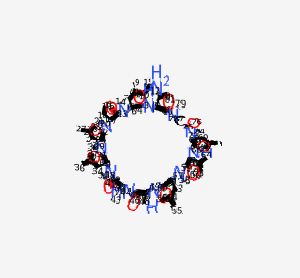 CC[C@@H]1NC(=O)[C@H](C[C@H](C)CCN)N(C)C(=O)[C@H](CC)N(C)C(=O)[C@H](CC(C)C)N(C)C(=O)[C@H](CC(C)C)N(C)C(=O)[C@@H](C)NC(=O)[C@H](C)NC(=O)[C@H](CC(C)C)N(C)C(=O)[C@H](C(C)C)NC(=O)[C@H](CC(C)C)N(C)C(=O)CN(C)C1=O